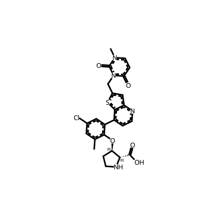 Cc1cc(Cl)cc(-c2ccnc3cc(Cn4c(=O)ccn(C)c4=O)sc23)c1O[C@@H]1CCN[C@H]1C(=O)O